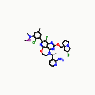 CPN(C)c1cc(C)cc(-c2nc3c4c(nc(OC[C@@]56CCCN5C[C@H](F)C6)nc4c2F)N([C@H](C)c2cccnc2N)CCO3)c1Cl